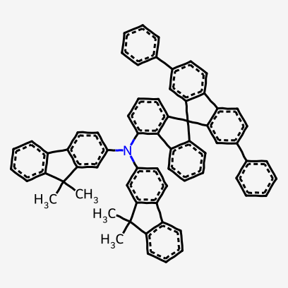 CC1(C)c2ccccc2-c2ccc(N(c3ccc4c(c3)C(C)(C)c3ccccc3-4)c3cccc4c3-c3ccccc3C43c4cc(-c5ccccc5)ccc4-c4ccc(-c5ccccc5)cc43)cc21